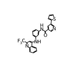 O=C(Nc1cccc(Nc2cc(C(F)(F)F)nc3ccccc23)c1)c1cncc(-c2cccs2)c1